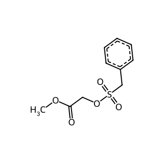 COC(=O)COS(=O)(=O)Cc1ccccc1